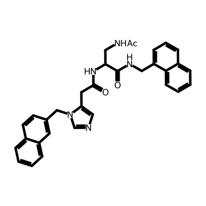 CC(=O)NCC(NC(=O)Cc1cncn1Cc1ccc2ccccc2c1)C(=O)NCc1cccc2ccccc12